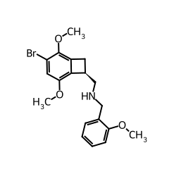 COc1ccccc1CNC[C@@H]1Cc2c(OC)c(Br)cc(OC)c21